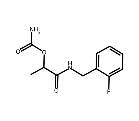 CC(OC(N)=O)C(=O)NCc1ccccc1F